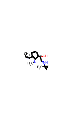 C=Nc1c(/C=C\C)cccc1[C@@H](O)CNC1(C(F)(F)F)CC1